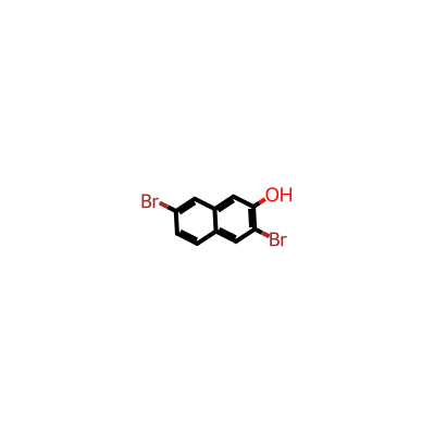 Oc1cc2cc(Br)ccc2cc1Br